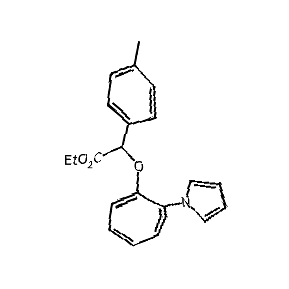 CCOC(=O)C(Oc1ccccc1-n1cccc1)c1ccc(C)cc1